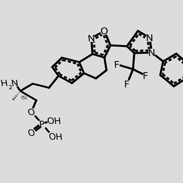 C[C@](N)(CCc1ccc2c(c1)CCc1c-2noc1-c1cnn(-c2ccccc2)c1C(F)(F)F)COP(=O)(O)O